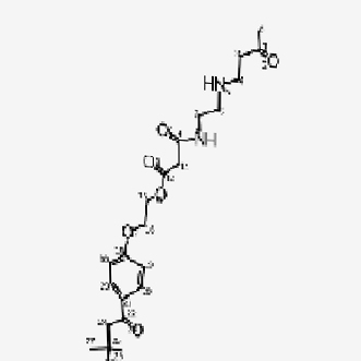 CC(=O)CCNCCNC(=O)CC(=O)OCCOc1ccc(C(=O)CC(C)(C)O)cc1